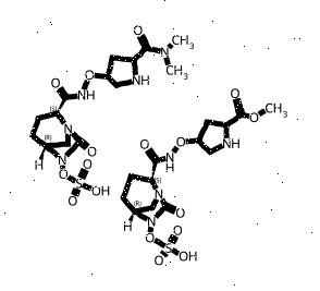 CN(C)C(=O)C1CC(ONC(=O)[C@@H]2CC[C@@H]3CN2C(=O)N3OS(=O)(=O)O)CN1.COC(=O)C1CC(ONC(=O)[C@@H]2CC[C@@H]3CN2C(=O)N3OS(=O)(=O)O)CN1